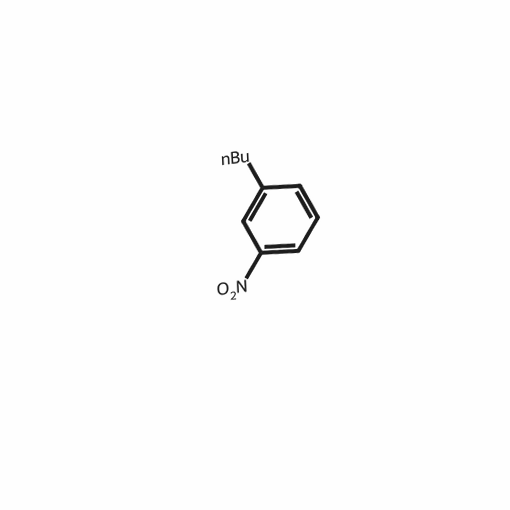 [CH]CCCc1cccc([N+](=O)[O-])c1